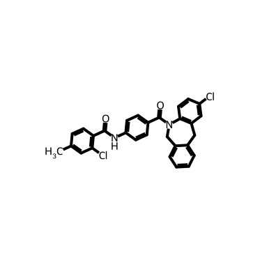 Cc1ccc(C(=O)Nc2ccc(C(=O)N3Cc4ccccc4Cc4cc(Cl)ccc43)cc2)c(Cl)c1